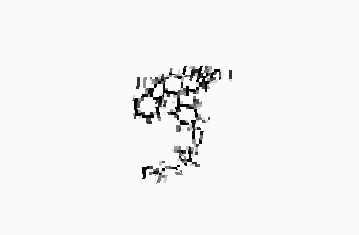 C[C@H]1Cc2[nH]c3ccccc3c2[C@H](c2c(F)cc(OC3CN(CCCF)C3)cc2F)N1CC(F)(F)CO